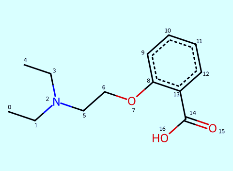 CCN(CC)CCOc1ccccc1C(=O)O